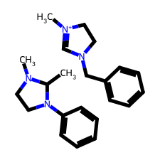 CC1N(C)CCN1c1ccccc1.C[N+]1=CN(Cc2ccccc2)CC1